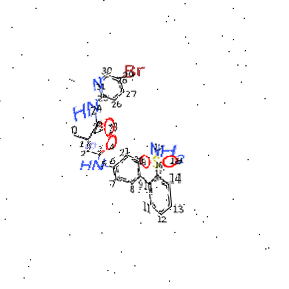 C/C(=C/C(=O)Nc1ccc(-c2ccccc2S(N)(=O)=O)cc1)C(=O)Nc1ccc(Br)cn1